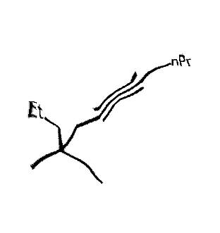 [CH2]CCC#CC(C)(C)CC